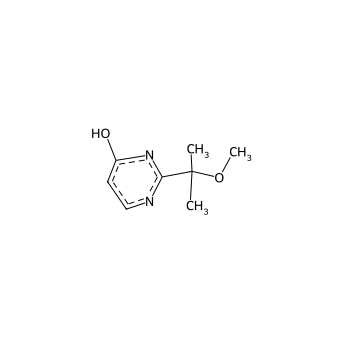 COC(C)(C)c1nccc(O)n1